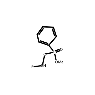 COP(=O)(OBF)c1ccccc1